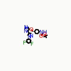 CC(C)(C)OC(=O)N[C@H]1CC[C@@H](COc2cncnc2-c2cnn(-c3cc(F)cc(F)c3)c2)CC1